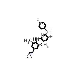 Cc1cc(/C=C/C#N)cc(C)c1Nc1ccc(F)c(Nc2ccc(F)cc2)n1